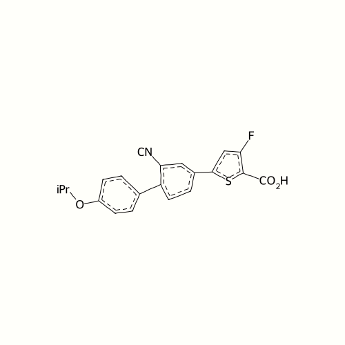 [C-]#[N+]c1cc(-c2cc(F)c(C(=O)O)s2)ccc1-c1ccc(OC(C)C)cc1